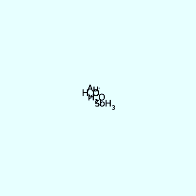 O.O.[Au].[SbH3]